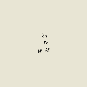 [Al].[Fe].[Ni].[Zn]